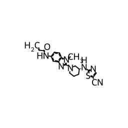 C=CC(=O)Nc1ccc2c(c1)nc(N1CCC[C@@H](Nc3ncc(C#N)s3)C1)n2C